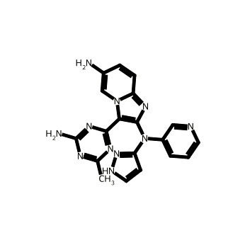 Cc1nc(N)nc(-c2c(N(c3cccnc3)c3cc[nH]n3)nc3ccc(N)cn23)n1